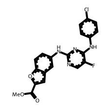 COC(=O)c1cc2cc(Nc3ncc(F)c(Nc4ccc(Cl)cc4)n3)ccc2o1